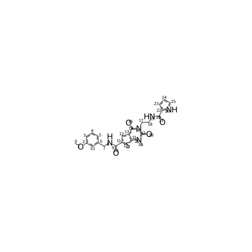 COc1cccc(CNC(=O)c2cc3c(=O)n(CCNC(=O)c4ccc[nH]4)c(=O)n(C)c3s2)c1